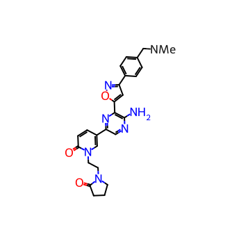 CNCc1ccc(-c2cc(-c3nc(-c4ccc(=O)n(CCN5CCCC5=O)c4)cnc3N)on2)cc1